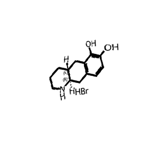 Br.Oc1ccc2c(c1O)C[C@H]1CCCN[C@@H]1C2